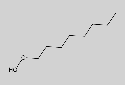 CC[CH]CCCCCOO